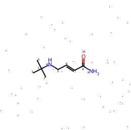 CC(C)(C)NCC=CC(N)=O